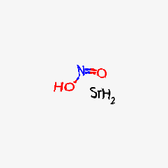 O=NO.[SrH2]